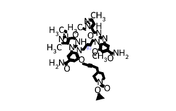 CCn1nc(C)cc1C(=O)Nc1nc2cc(C(N)=O)cc(OC)c2n1C/C=C/Cn1c(NC(=O)c2cc(C)nn2CC)nc2cc(C(N)=O)cc(OCC#CCC3CCN(C(=O)OC4CC4)CC3)c21